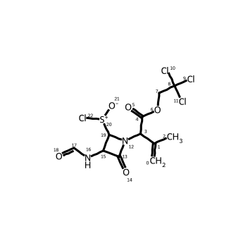 C=C(C)C(C(=O)OCC(Cl)(Cl)Cl)N1C(=O)C(NC=O)C1[S+]([O-])Cl